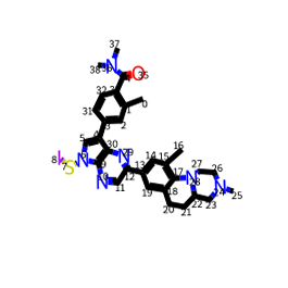 Cc1cc(-c2cn(SI)c3ncc(-c4cc(C)c5c(c4)CCC4CN(C)CCN54)nc23)ccc1C(=O)N(C)C